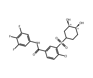 O=C(Nc1cc(F)c(F)c(F)c1)c1ccc(Cl)c(S(=O)(=O)C2CC[C@H](O)[C@H](O)C2)c1